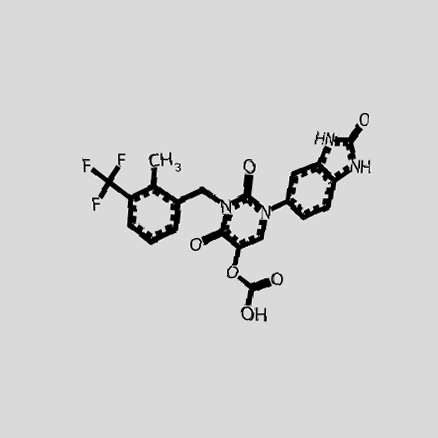 Cc1c(Cn2c(=O)c(OC(=O)O)cn(-c3ccc4[nH]c(=O)[nH]c4c3)c2=O)cccc1C(F)(F)F